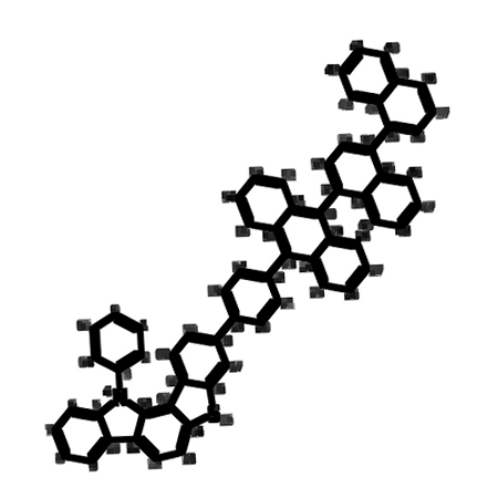 c1ccc(-n2c3ccccc3c3ccc4sc5cc(-c6ccc(-c7c8ccccc8c(-c8ccc(-c9cccc%10ccccc9%10)c9ccccc89)c8ccccc78)cc6)ccc5c4c32)cc1